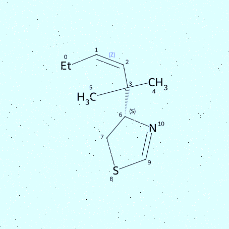 CC/C=C\C(C)(C)[C@H]1CSC=N1